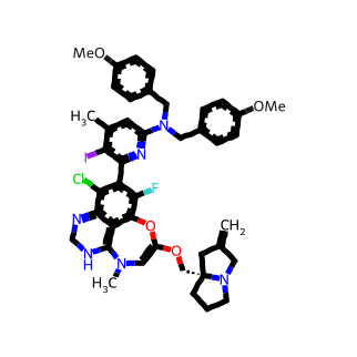 C=C1CN2CCC[C@@]2(COC2=CN(C)C3=c4c(c(F)c(-c5nc(N(Cc6ccc(OC)cc6)Cc6ccc(OC)cc6)cc(C)c5I)c(Cl)c4=NCN3)O2)C1